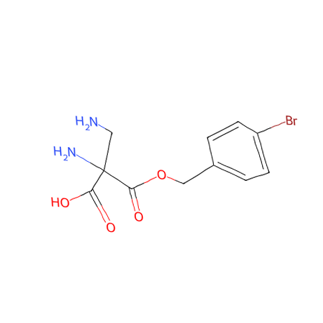 NCC(N)(C(=O)O)C(=O)OCc1ccc(Br)cc1